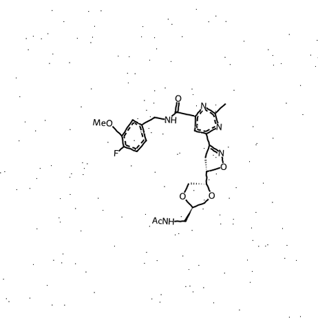 COc1cc(CNC(=O)c2cc(C3=NO[C@H]([C@H]4CO[C@H](CNC(C)=O)CO4)C3)nc(C)n2)ccc1F